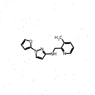 Cc1cccnc1CNc1ccn(-c2ccco2)n1